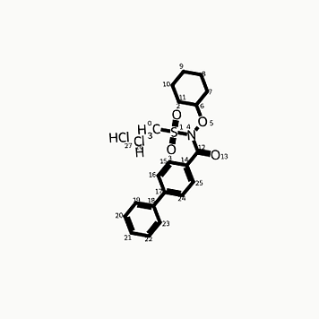 CS(=O)(=O)N(OC1CCCCC1)C(=O)c1ccc(-c2ccccc2)cc1.Cl.Cl